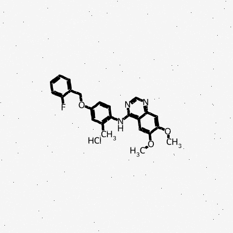 COc1cc2ncnc(Nc3ccc(OCc4ccccc4F)cc3C)c2cc1OC.Cl